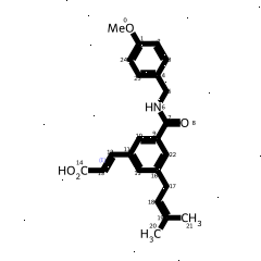 COc1ccc(CNC(=O)c2cc(/C=C/C(=O)O)cc(CC=C(C)C)c2)cc1